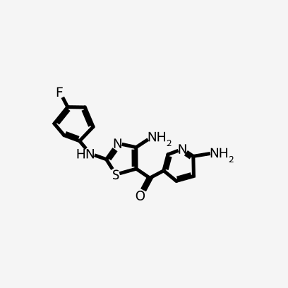 Nc1ccc(C(=O)c2sc(Nc3ccc(F)cc3)nc2N)cn1